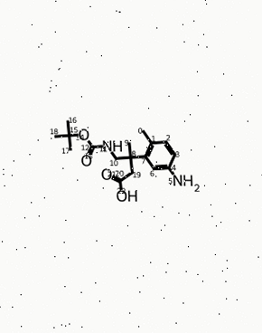 Cc1ccc(N)cc1C(C)(CNC(=O)OC(C)(C)C)CC(=O)O